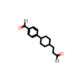 CCC(=O)CCC1CCC(c2ccc(C(=O)CC)cc2)CC1